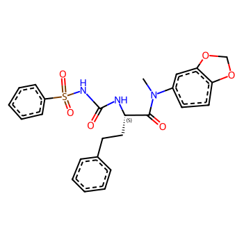 CN(C(=O)[C@H](CCc1ccccc1)NC(=O)NS(=O)(=O)c1ccccc1)c1ccc2c(c1)OCO2